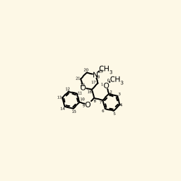 COc1ccccc1C(Oc1ccccc1)C1CN(C)CCO1